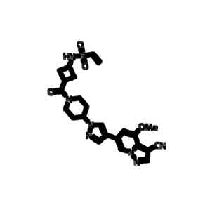 C=CS(=O)(=O)NC1CC(C(=O)N2CCC(n3cc(-c4cc(OC)c5c(C#N)cnn5c4)cn3)CC2)C1